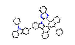 c1ccc(-c2ccc(-c3nc4ccccc4nc3-n3c4ccc(-c5ccc6c7ccccc7n(-c7ccccc7)c6c5)cc4c4c5ccccc5ccc43)c3ccccc23)cc1